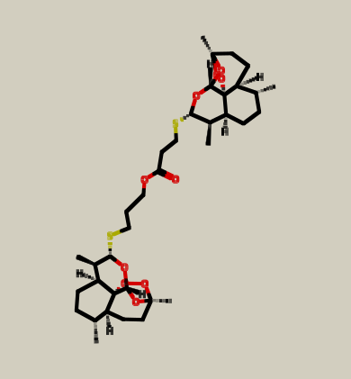 C[C@H]1[C@H](SCCCOC(=O)CCS[C@@H]2O[C@@H]3O[C@]4(C)CC[C@H]5[C@H](C)CC[C@@H]([C@H]2C)[C@@]35OO4)O[C@@H]2O[C@]3(C)CC[C@H]4[C@H](C)CC[C@@H]1[C@@]24OO3